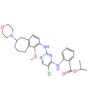 COc1c(Nc2ncc(Cl)c(Nc3ccccc3C(=O)OC(C)C)n2)ccc2c1CCCC(N1CCOCC1)C2